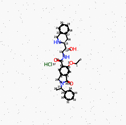 CCOc1cc2c(cc1C(=O)NC[C@@H](O)[C@@H]1Cc3ccccc3CN1)CN(C(C)c1ccccc1)C2=O.Cl